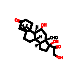 C[C@]12CCC(=O)C=C1CC[C@@H]1[C@@H]2[C@@H](O)C[C@@]2(C=O)[C@H]1CC[C@@]2(O)C(=O)CO